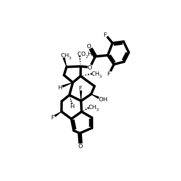 C[C@@H]1C[C@H]2[C@@H]3C[C@H](F)C4=CC(=O)C=C[C@]4(C)[C@@]3(F)[C@H](O)C[C@]2(C)[C@@]1(OC(=O)c1c(F)cccc1F)C(=O)O